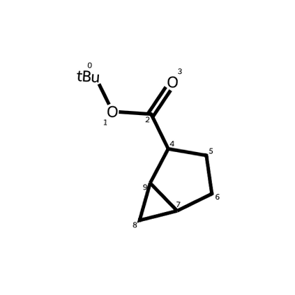 CC(C)(C)OC(=O)C1CCC2CC21